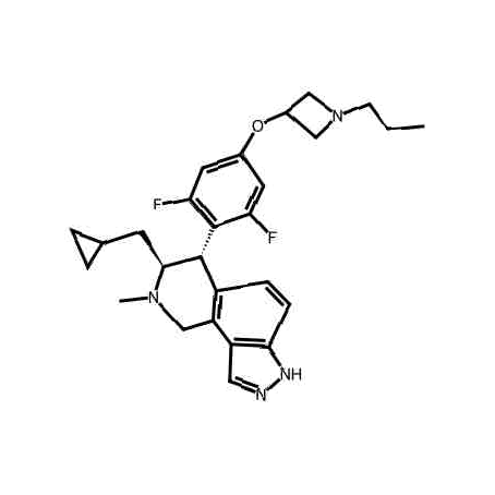 CCCN1CC(Oc2cc(F)c([C@@H]3c4ccc5[nH]ncc5c4CN(C)[C@H]3CC3CC3)c(F)c2)C1